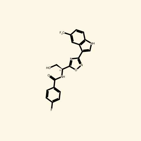 O=C(N[C@@H](CO)c1nc(-c2c[nH]c3ccc(C(F)(F)F)cc23)no1)c1ccc(F)cc1